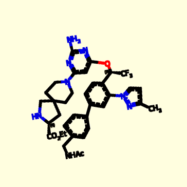 CCOC(=O)[C@@H]1CC2(CCN(c3cc(O[C@H](c4ccc(-c5ccc(CNC(C)=O)cc5)cc4-n4ccc(C)n4)C(F)(F)F)nc(N)n3)CC2)CN1